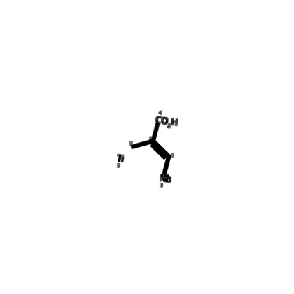 CC(=[CH][Nb])C(=O)O.[Ti]